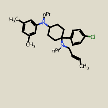 CC=CCN(CCC)C1(c2ccc(Cl)cc2)CCC(N(CCC)c2cc(C)cc(C)c2)CC1